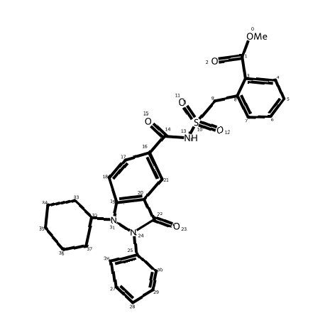 COC(=O)c1ccccc1CS(=O)(=O)NC(=O)c1ccc2c(c1)c(=O)n(-c1ccccc1)n2C1CCCCC1